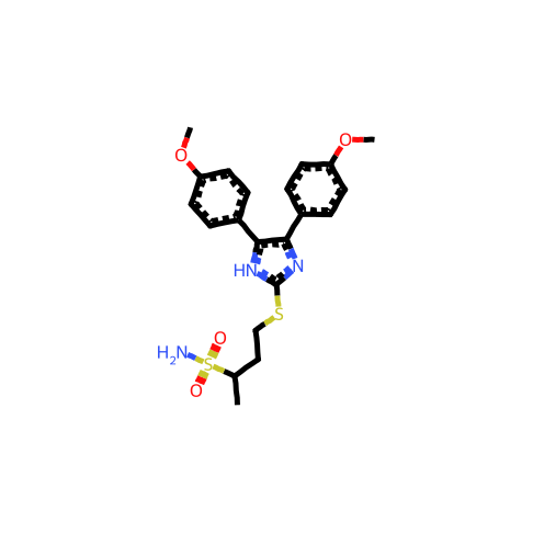 COc1ccc(-c2nc(SCCC(C)S(N)(=O)=O)[nH]c2-c2ccc(OC)cc2)cc1